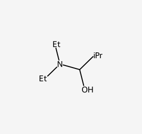 [CH2]C(C)C(O)N(CC)CC